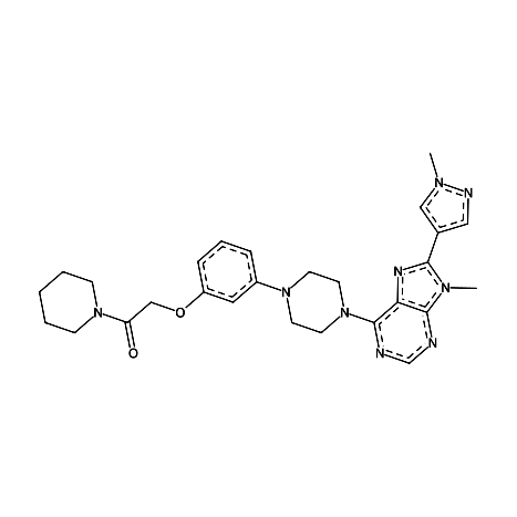 Cn1cc(-c2nc3c(N4CCN(c5cccc(OCC(=O)N6CCCCC6)c5)CC4)ncnc3n2C)cn1